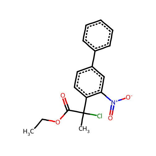 CCOC(=O)C(C)(Cl)c1ccc(-c2ccccc2)cc1[N+](=O)[O-]